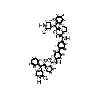 O=C1CN(C(C(=O)N2CCC[C@H]2C(=O)Nc2ccc(-c3ccc(NC(=O)[C@@H]4CCCN4C(=O)C(c4ccccc4)N4CCNC(=O)C4)cc3)cc2)c2ccccc2)CCN1